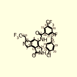 O=C(Nc1cc2c(cnn2CC(F)(F)F)c2c1[C@H](c1cc(F)ccc1Cl)NC2=O)c1cc(F)cc(C(F)(F)F)c1